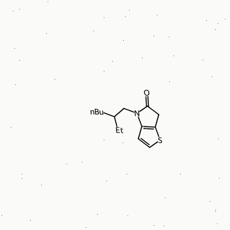 CCCCC(CC)CN1C(=O)Cc2sccc21